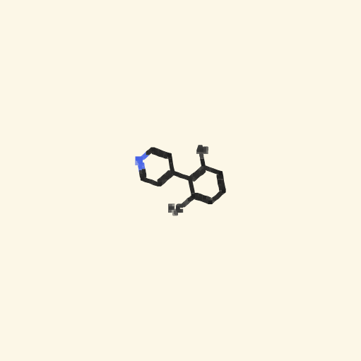 CC(=O)c1cccc(C(F)(F)F)c1-c1ccncc1